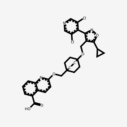 O=C(O)c1cccc2nc(OCC34CCC(OCc5c(-c6c(Cl)cncc6Cl)noc5C5CC5)(CC3)CC4)ccc12